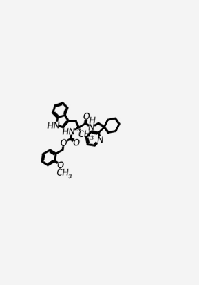 COc1ccccc1COC(=O)N[C@@](C)(Cc1c[nH]c2ccccc12)C(=O)NCC1(c2ccccn2)CCCCC1